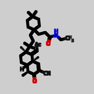 CC(=O)/C=C1/[C@@]2(C)C=C(C#N)C(=O)[C@@H](C)[C@@H]2CC[C@@]1(C)C(C)(C)CCC1(CCC(=O)NCC(F)(F)F)CCC(C)(C)CC1